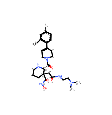 Cc1cc(C#N)ccc1C1=CCN(C(=O)[C@H]2NCCC[C@@]2(CC(=O)NCCN(C)C)C(=O)NO)CC1